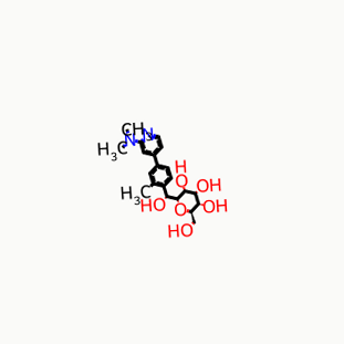 Cc1cc(-c2ccnc(N(C)C)c2)ccc1[C@@H](O)[C@H]1O[C@H](CO)[C@@H](O)[C@H](O)[C@@H]1O